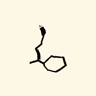 C/C(=C/CC#N)C1CCCCC1